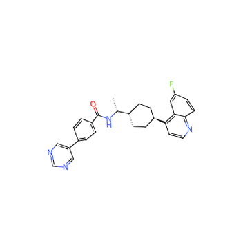 C[C@@H](NC(=O)c1ccc(-c2cncnc2)cc1)[C@H]1CC[C@H](c2ccnc3ccc(F)cc32)CC1